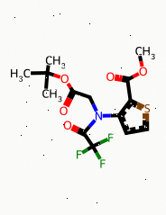 COC(=O)c1sccc1N(CC(=O)OC(C)(C)C)C(=O)C(F)(F)F